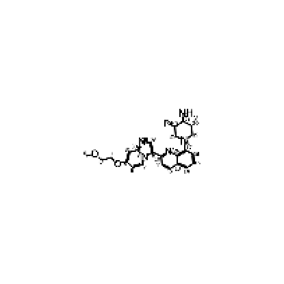 COCCOc1ccn2c(-c3ccc4cccc(N5CCC(N)C(F)C5)c4n3)cnc2c1